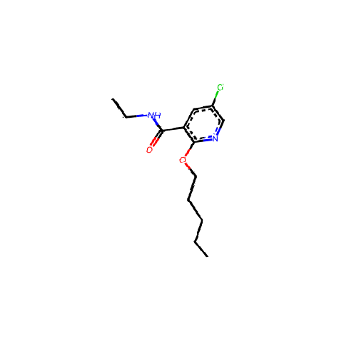 C[CH]NC(=O)c1cc(Cl)cnc1OCCCCC